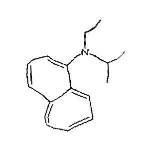 CCN(c1cccc2ccccc12)C(C)C